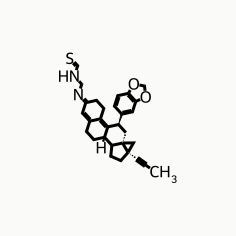 CC#C[C@]12CCC3[C@@H]4CCC5=C/C(=N/CNC=S)CCC5=C4[C@@H](c4ccc5c(c4)OCO5)C[C@@]31C2